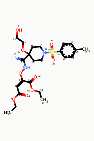 CCOC(=O)/C=C(/ONC(=N)C1(OCCO)CCN(S(=O)(=O)c2ccc(C)cc2)CC1)C(=O)OCC